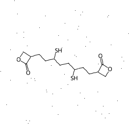 O=C1OCC1CCC(S)CCC(S)CCC1COC1=O